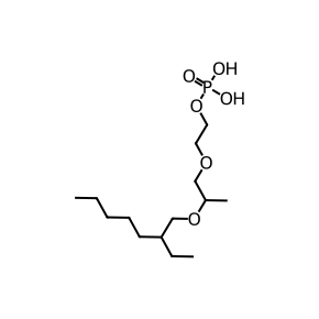 CCCCCC(CC)COC(C)COCCOP(=O)(O)O